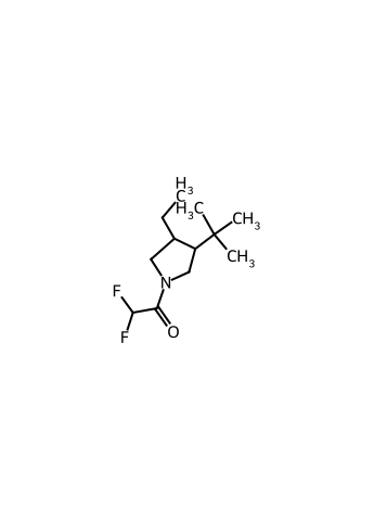 CCC1CN(C(=O)C(F)F)CC1C(C)(C)C